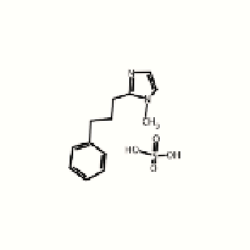 Cn1ccnc1CCCc1ccccc1.O=S(=O)(O)O